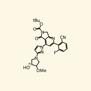 COC1CN(c2ccn(-c3cc(-c4c(F)cccc4C#N)nc4c3C(=O)N(C(=O)OC(C)(C)C)C4)n2)C[C@H]1O